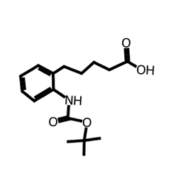 CC(C)(C)OC(=O)Nc1ccccc1CCCCC(=O)O